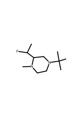 CC(F)C1CN(C(C)(C)C)CCN1C